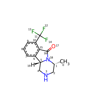 C[C@@H]1CNC[C@@H]2c3cccc(C(F)(F)F)c3C(=O)N12